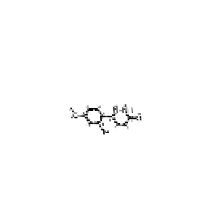 COc1ccc(-c2ccc(=O)[nH]n2)c(I)c1